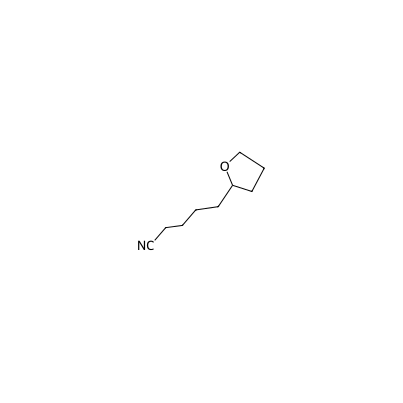 N#CCCCCC1CCCO1